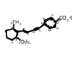 CC(=O)OC1CCCC(C)=C1C=CC#Cc1ccc(C(=O)O)cc1